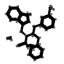 COC(=O)[C@H](Cc1c[nH]c2ccccc12)N(Cc1ccccc1)Cc1cccc(C(F)(F)F)c1.Cl